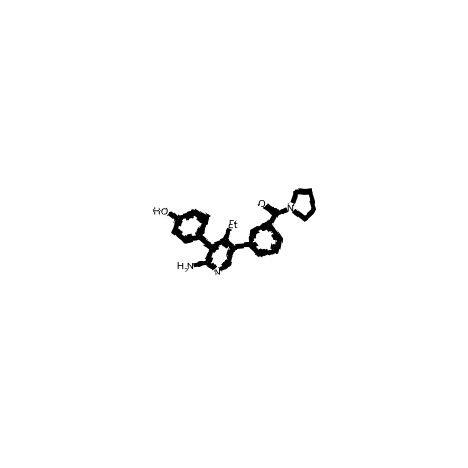 CCc1c(-c2cccc(C(=O)N3CCCC3)c2)cnc(N)c1-c1ccc(O)cc1